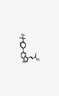 CC(C)(O)c1ccc(-c2cnc3[nH]cc(/C=C/C(N)=O)c3n2)cc1